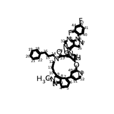 Cn1nc2cccc3c2c1CCCN(CCCc1ccccc1)C(=O)[C@@H]1C[C@@H](CN1c1ncnc2c1cnn2-c1ccc(F)cc1F)Oc1cc-3ccn1